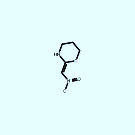 O=[N+]([O-])/C=C1/NCCCO1